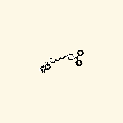 c1ccc(C(c2ccccc2)N2CCN(CCCCCCNc3ccc4nncn4n3)CC2)cc1